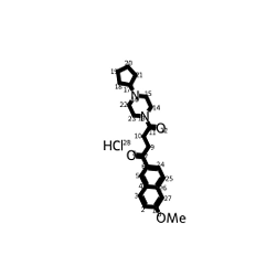 COc1ccc2cc(C(=O)CCC(=O)N3CCN(C4CCCC4)CC3)ccc2c1.Cl